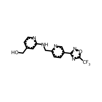 OCc1ccnc(NCc2ccc(-c3noc(C(F)(F)F)n3)cn2)c1